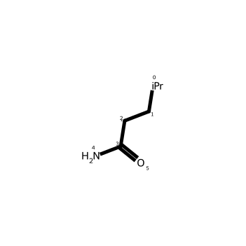 CC(C)C[CH]C(N)=O